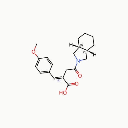 COc1ccc(/C=C(\CC(=O)N2C[C@H]3CCCC[C@H]3C2)C(=O)O)cc1